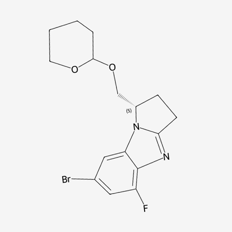 Fc1cc(Br)cc2c1nc1n2[C@H](COC2CCCCO2)CC1